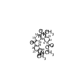 CCOC(=O)c1ccc(N(C)C(=O)N2CCC(C(=O)c3ccc4c(cnn4C)c3)CC2)cc1